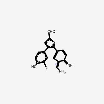 N#Cc1ccc(-c2cc(C=O)sc2C2=C/C(=C/N)C(=N)C=C2)cc1F